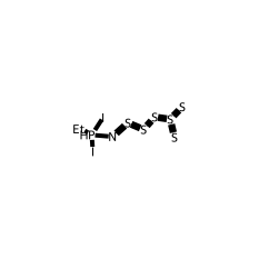 CC[PH](I)(I)N=S=S=S=S(=S)=S